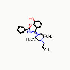 C=CCN1C[C@H](C)N([C@@H](NC(=O)c2ccccc2)c2cccc(O)c2)C[C@@H]1C